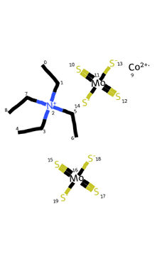 CC[N+](CC)(CC)CC.[Co+2].[S]=[Mo](=[S])([S-])[S-].[S]=[Mo](=[S])([S-])[S-]